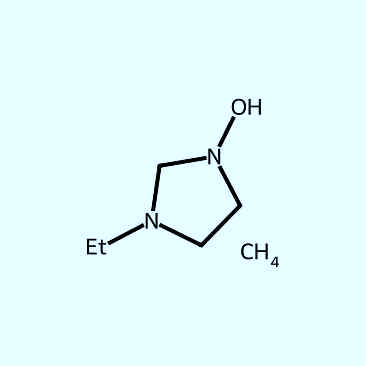 C.CCN1CCN(O)C1